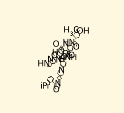 CC(C)c1ccccc1[C@@H]1COCCN1C1CC2(CCN(c3ccc(C(=O)NS(=O)(=O)c4cc5c(c([N+](=O)[O-])c4)N[C@H](C4CCC(C)(O)CC4)CO5)c(N4c5cc6cc[nH]c6nc5O[C@H]5COCC[C@@H]54)c3)CC2)C1